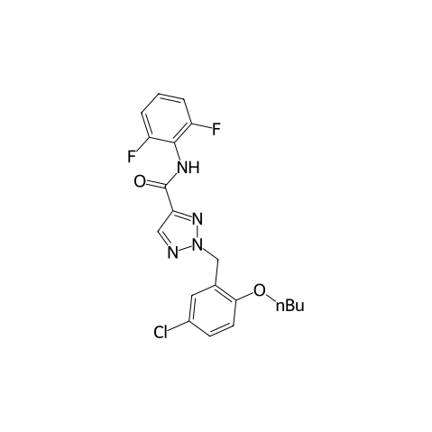 CCCCOc1ccc(Cl)cc1Cn1ncc(C(=O)Nc2c(F)cccc2F)n1